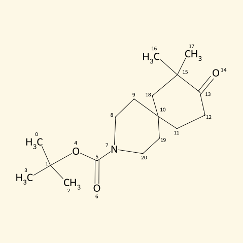 CC(C)(C)OC(=O)N1CCC2(CCC(=O)C(C)(C)C2)CC1